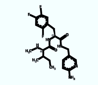 CCC(C)[C@@H](NC)C(=O)N[C@@H](Cc1cc(F)c(F)cc1F)C(=O)NCc1ccc(N)nc1